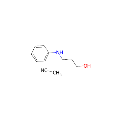 CC#N.OCCCNc1ccccc1